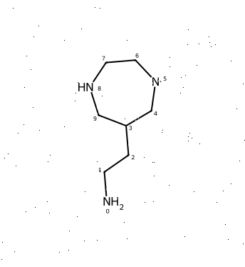 NCCC1C[N]CCNC1